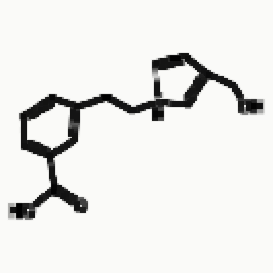 O=C(O)c1cccc(CC[SH]2C=CC(CO)=C2)c1